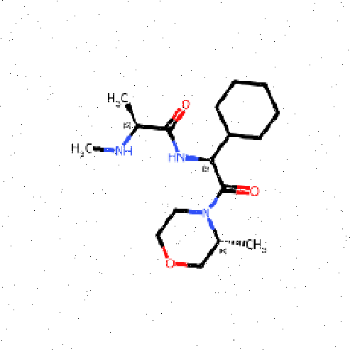 CN[C@@H](C)C(=O)N[C@H](C(=O)N1CCOC[C@H]1C)C1CCCCC1